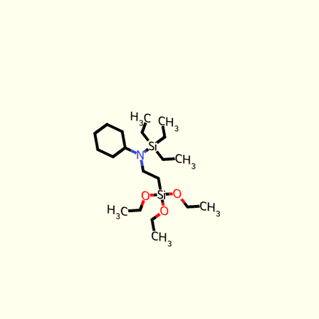 CCO[Si](CCN(C1CCCCC1)[Si](CC)(CC)CC)(OCC)OCC